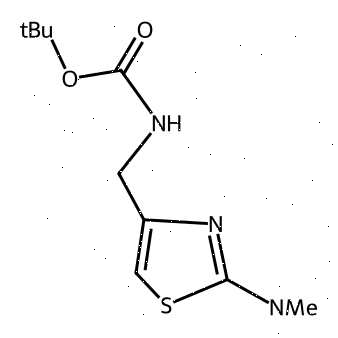 CNc1nc(CNC(=O)OC(C)(C)C)cs1